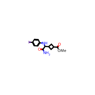 COC(=O)C1CC(C(Nc2ccc(I)cc2)C(N)=O)C1